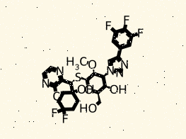 CO[C@@H]1[C@@H](n2cc(-c3cc(F)c(F)c(F)c3)nn2)[C@@H](O)[C@@H](CO)O[C@H]1S[C@@H](c1nccnc1Cl)C1(O)CCC(F)(F)CC1